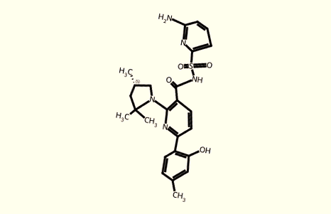 Cc1ccc(-c2ccc(C(=O)NS(=O)(=O)c3cccc(N)n3)c(N3C[C@@H](C)CC3(C)C)n2)c(O)c1